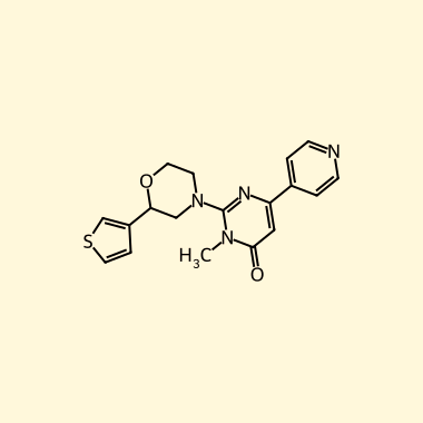 Cn1c(N2CCOC(c3ccsc3)C2)nc(-c2ccncc2)cc1=O